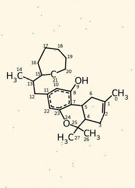 CC1=CCC2C(C1)c1c(O)cc(CC(C)C3CCCCCC3)cc1OC2(C)C